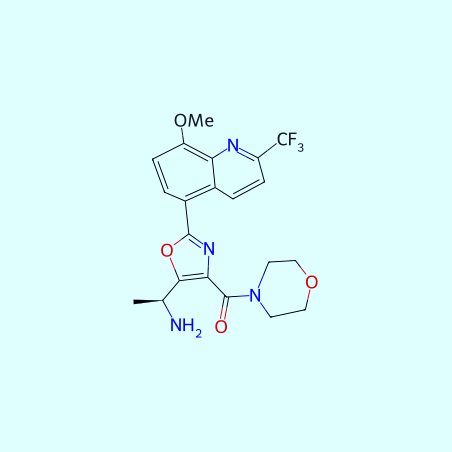 COc1ccc(-c2nc(C(=O)N3CCOCC3)c([C@H](C)N)o2)c2ccc(C(F)(F)F)nc12